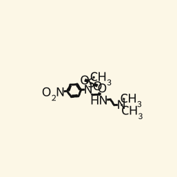 CN(C)CCNC(=O)CN(c1ccc([N+](=O)[O-])cc1)S(C)(=O)=O